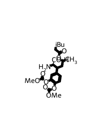 CCC(C)CC(=O)OC(C)CC(c1ccc(OC(=O)OC)c(OC(=O)OC)c1)[C@H](N)C(=O)O